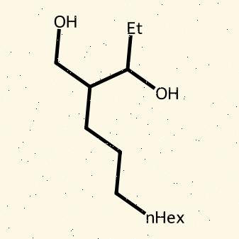 CCCCCCCCCC(CO)C(O)CC